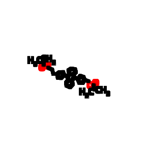 C=C(C)C(=O)OCCCc1ccc(-c2c3ccccc3c(-c3ccc(COC(=O)C(=C)C)cc3)c3ccccc23)cc1